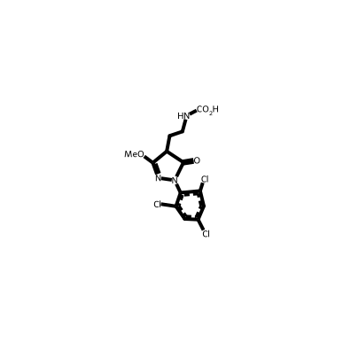 COC1=NN(c2c(Cl)cc(Cl)cc2Cl)C(=O)C1CCNC(=O)O